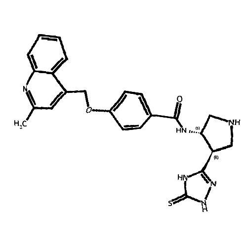 Cc1cc(COc2ccc(C(=O)N[C@@H]3CNC[C@H]3c3n[nH]c(=S)[nH]3)cc2)c2ccccc2n1